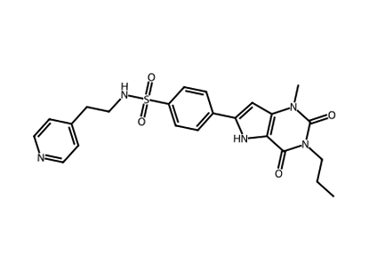 CCCn1c(=O)c2[nH]c(-c3ccc(S(=O)(=O)NCCc4ccncc4)cc3)cc2n(C)c1=O